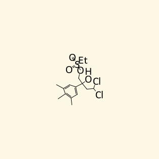 CCS(=O)(=O)OCC(O)(CC(Cl)Cl)c1cc(C)c(C)c(C)c1